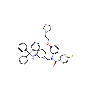 O=C(c1ccc(F)cc1)N(C[C@@H]1CCC[C@H](NC(c2ccccc2)(c2ccccc2)c2ccccc2)C1)c1cccc(OCCN2CCCC2)c1